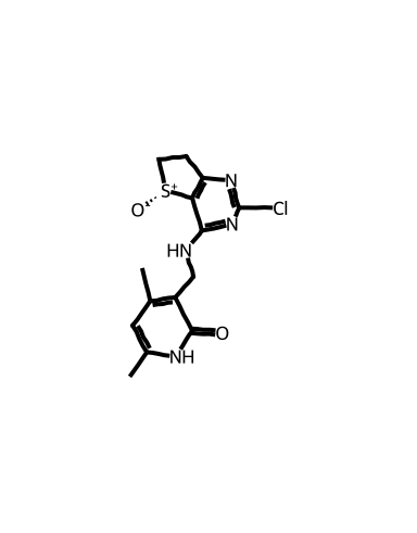 Cc1cc(C)c(CNc2nc(Cl)nc3c2[S@+]([O-])CC3)c(=O)[nH]1